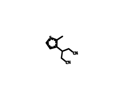 Cc1sccc1C(CC#N)CC#N